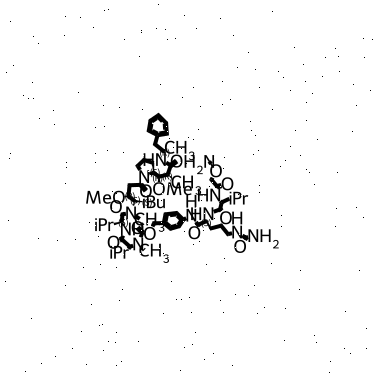 CC[C@H](C)[C@@H]([C@@H](CC(=O)N1CCC[C@H]1[C@H](OC)[C@@H](C)C(=O)N[C@H](C)Cc1ccccc1)OC)N(C)C(=O)[C@@H](NC(=O)C(C(C)C)N(C)C(=O)OCc1ccc(NC(=O)[C@H](CCCNC(N)=O)NC(=O)C(NC(=O)CON)C(C)C)cc1)C(C)C